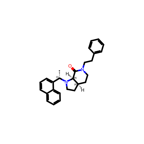 C[C@@H](c1cccc2ccccc12)N1CC[C@@H]2CCN(CCc3ccccc3)C(=O)[C@@H]21